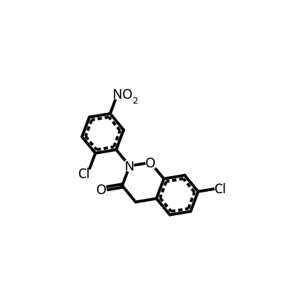 O=C1Cc2ccc(Cl)cc2ON1c1cc([N+](=O)[O-])ccc1Cl